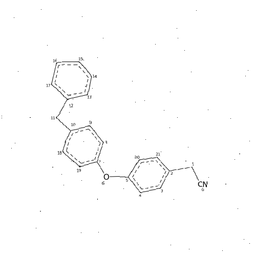 N#CCc1ccc(Oc2ccc(Cc3ccccc3)cc2)cc1